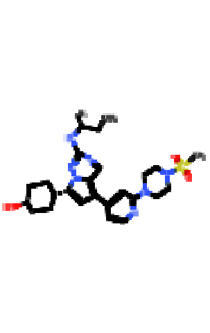 COC[C@H](C)Nc1ncc2c(-c3ccnc(N4CCN(S(=O)(=O)C(F)(F)F)CC4)c3)cc([C@H]3CC[C@H](O)CC3)n2n1